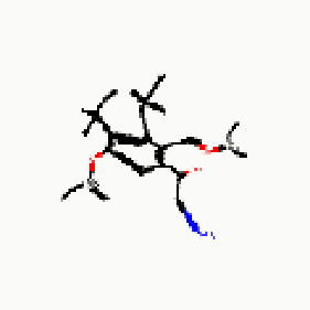 C[SiH](C)OCc1c(C(O)CN)cc(O[SiH](C)C)c(C(C)(C)C)c1C(C)(C)C